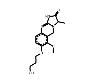 COc1c(OCCCO)ccc2c1CN1C(=N2)NC(=O)C1C